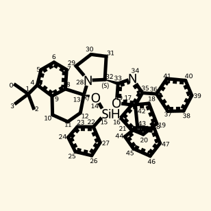 CC(C)(C)c1cccc2c1CCC[C@]2(O[SiH](c1ccccc1)c1ccccc1)N1CCC[C@H]1c1nc(-c2ccccc2)c(-c2ccccc2)o1